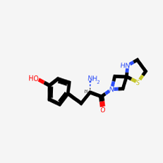 N[C@@H](Cc1ccc(O)cc1)C(=O)N1CC2(C1)NCCS2